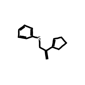 C=C(CSc1ccccc1)C1=CCCC1